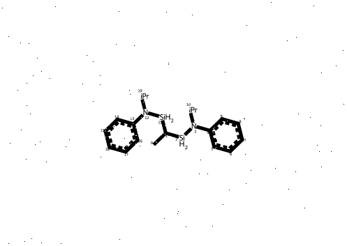 CC([SiH2]N(c1ccccc1)C(C)C)[SiH2]N(c1ccccc1)C(C)C